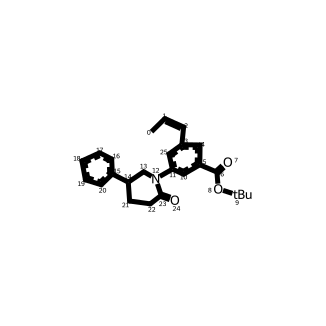 C/C=C\c1cc(C(=O)OC(C)(C)C)cc(N2CC(c3ccccc3)CCC2=O)c1